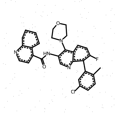 Cc1ccc(Cl)cc1-c1c(F)ccc2c(N3CCOCC3)c(NC(=O)c3ccnc4ccccc34)cnc12